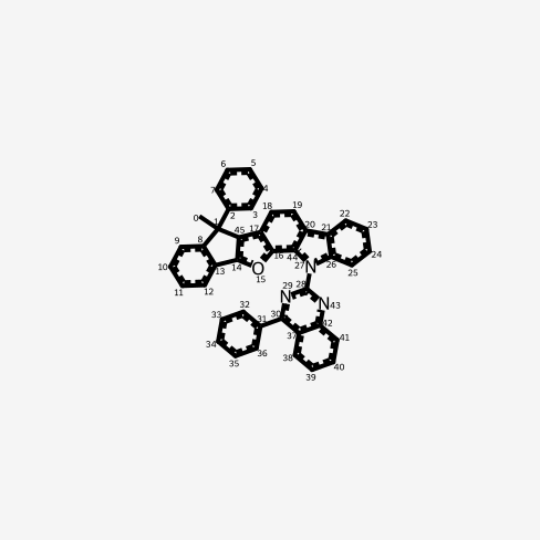 CC1(c2ccccc2)c2ccccc2-c2oc3c(ccc4c5ccccc5n(-c5nc(-c6ccccc6)c6ccccc6n5)c43)c21